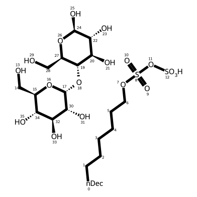 CCCCCCCCCCCCCCCCOS(=O)(=O)OS(=O)(=O)O.OC[C@H]1O[C@H](O[C@H]2[C@H](O)[C@@H](O)[C@H](O)O[C@@H]2CO)[C@H](O)[C@@H](O)[C@@H]1O